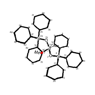 C[O][Zr]([O]C)([O][Si](C1CCCCC1)(C1CCCCC1)C1CCCCC1)[O][Si](C1CCCCC1)(C1CCCCC1)C1CCCCC1